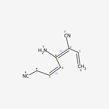 C=C/C(C#N)=C(N)\C=C/CC#N